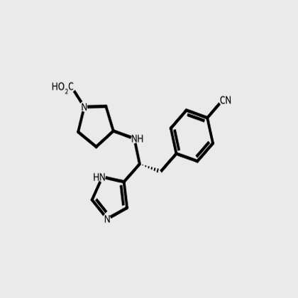 N#Cc1ccc(C[C@@H](NC2CCN(C(=O)O)C2)c2cnc[nH]2)cc1